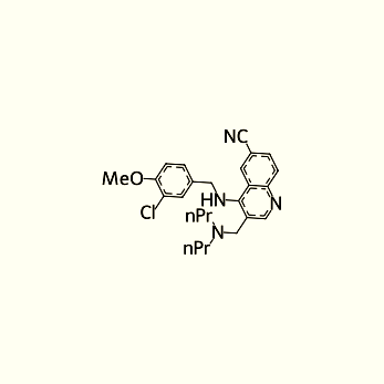 CCCN(CCC)Cc1cnc2ccc(C#N)cc2c1NCc1ccc(OC)c(Cl)c1